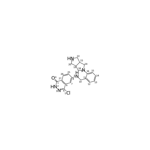 O=c1[nH]nc(Cl)c2cc(NCc3ccccc3N3CC4CNCC4C3)ccc12